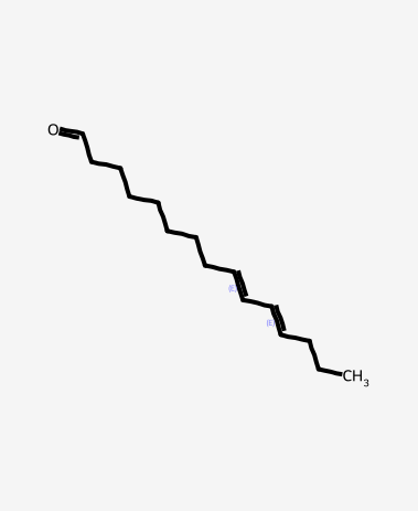 CCC/C=C/C=C/CCCCCCCC=O